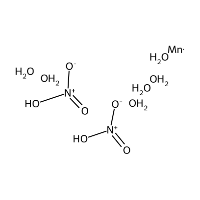 O.O.O.O.O.O.O=[N+]([O-])O.O=[N+]([O-])O.[Mn]